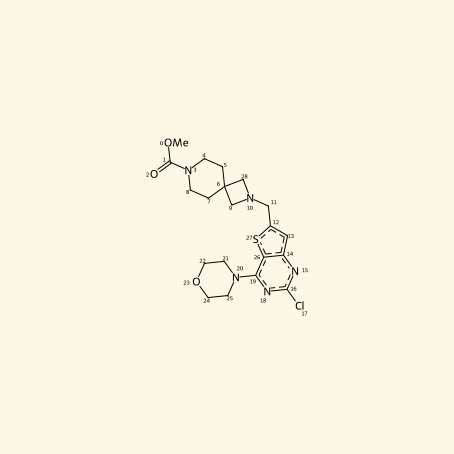 COC(=O)N1CCC2(CC1)CN(Cc1cc3nc(Cl)nc(N4CCOCC4)c3s1)C2